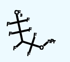 CCCOC(F)(F)C(F)C(F)(F)C(F)(F)C(F)(F)F